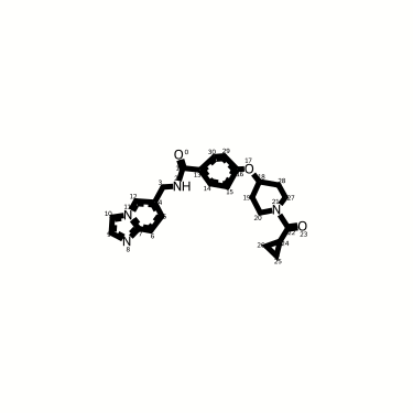 O=C(NCc1ccc2nccn2c1)c1ccc(OC2CCN(C(=O)C3CC3)CC2)cc1